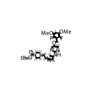 COc1cc(OC)c(F)c(COc2cnc(Nc3cnn(CCN4CCN(C(=O)OC(C)(C)C)CC4)c3)nc2)c1F